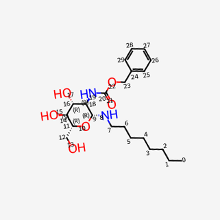 CCCCCCCCN[C@@H]1O[C@H](CO)[C@@H](O)[C@H](O)[C@H]1NC(=O)OCc1ccccc1